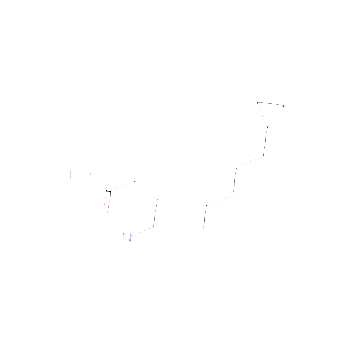 CC(CCCC1CC1)C[C@H](CN)CC(=O)O